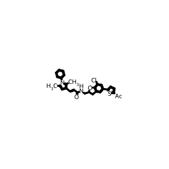 CC(=O)c1ccc(-c2cc(Cl)c3c(c2)CC(CNC(=O)/C=C/c2cc(C)n(-c4ccccc4)c2C)O3)s1